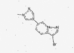 Cn1cc(-c2ccc3c(Br)cnn3c2)cn1